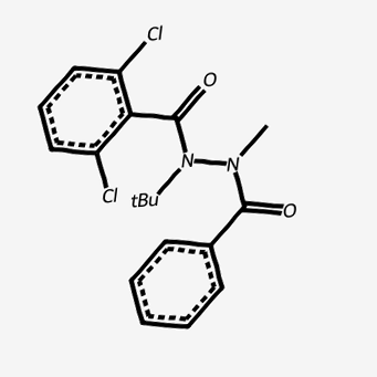 CN(C(=O)c1ccccc1)N(C(=O)c1c(Cl)cccc1Cl)C(C)(C)C